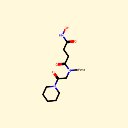 CCCC(C)N(CC(=O)N1CCCCC1)C(=O)CCC(=O)NO